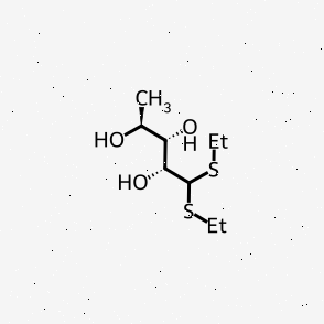 CCSC(SCC)[C@H](O)[C@@H](O)[C@H](C)O